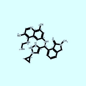 CN1Cc2cccc([C@H](Nc3cc(C#N)c4ncc(C#N)c(NCC(C)(C)C)c4c3)C3=CN(C4CC4)NN3)c2C1=O